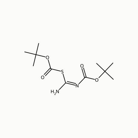 CC(C)(C)OC(=O)N=C(N)SC(=O)OC(C)(C)C